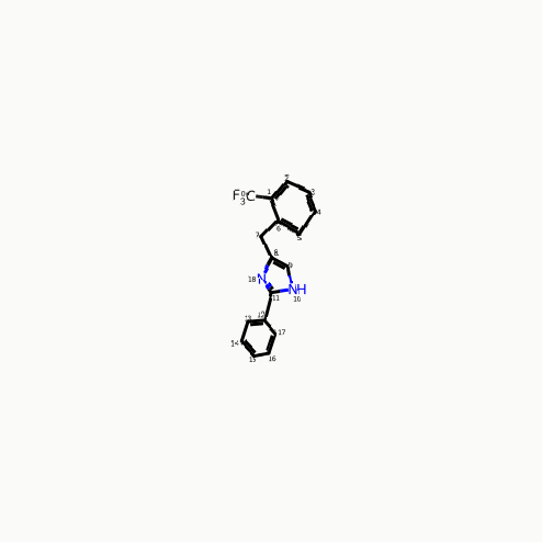 FC(F)(F)c1ccccc1Cc1c[nH]c(-c2c[c]ccc2)n1